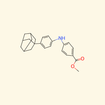 COC(=O)c1ccc(Nc2ccc(C34CC5CC(CC(C5)C3)C4)cc2)cc1